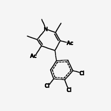 CC(=O)C1=C(C)N(C)C(C)=C(C(C)=O)C1c1cc(Cl)c(Cl)c(Cl)c1